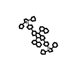 c1ccc(-c2ccc(-c3ccccc3)n2-c2ccc(-c3ccc4c(-c5cccc6ccccc56)c5cc(-c6ccc(-n7c(-c8ccccc8)ccc7-c7ccccc7)cc6)ccc5c(-c5cccc6ccccc56)c4c3)cc2)cc1